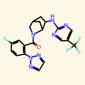 O=C(c1cc(F)ccc1-n1nccn1)N1CC2CC(Nc3ncc(C(F)(F)F)cn3)C1C2